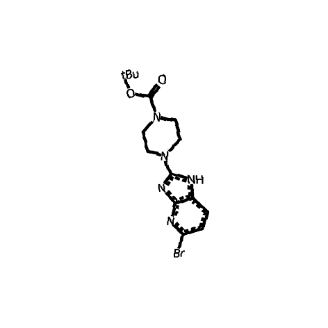 CC(C)(C)OC(=O)N1CCN(c2nc3nc(Br)ccc3[nH]2)CC1